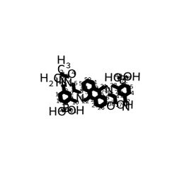 C=C(C)C(=O)NCCCN(Cc1cc(C#N)ccc1B(O)O)Cc1c2ccccc2c(CN(CCC(=O)O)Cc2cc(C#N)ccc2B(O)O)c2ccccc12